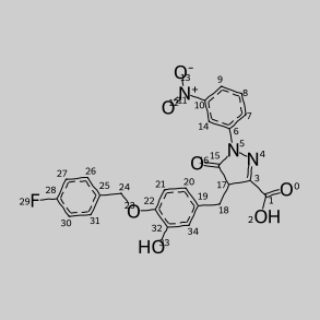 O=C(O)C1=NN(c2cccc([N+](=O)[O-])c2)C(=O)C1Cc1ccc(OCc2ccc(F)cc2)c(O)c1